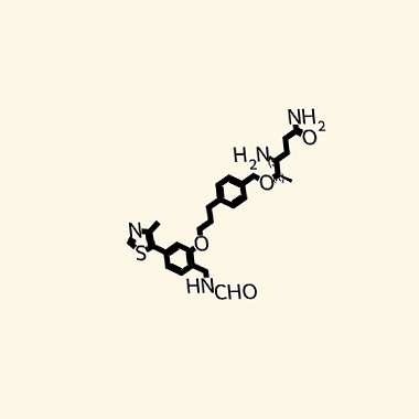 Cc1ncsc1-c1ccc(CNC=O)c(OCCCc2ccc(CO[C@H](C)[C@@H](N)CCC(N)=O)cc2)c1